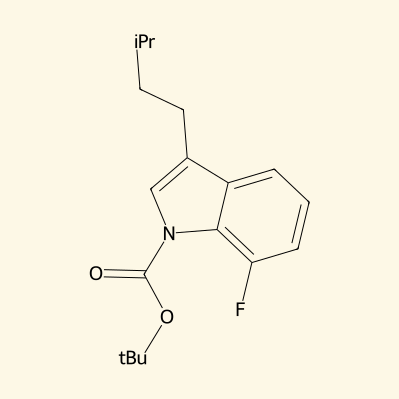 CC(C)CCc1cn(C(=O)OC(C)(C)C)c2c(F)cccc12